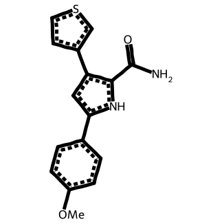 COc1ccc(-c2cc(-c3ccsc3)c(C(N)=O)[nH]2)cc1